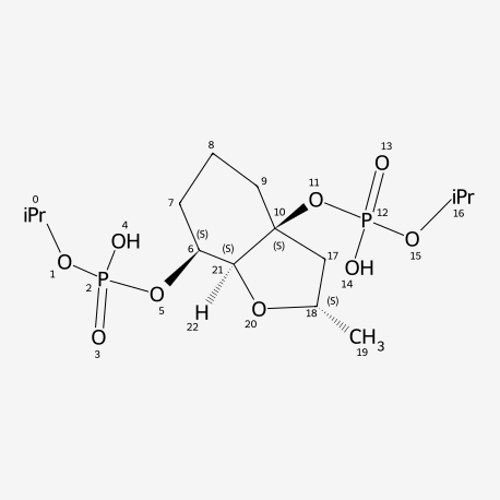 CC(C)OP(=O)(O)O[C@H]1CCC[C@]2(OP(=O)(O)OC(C)C)C[C@H](C)O[C@@H]12